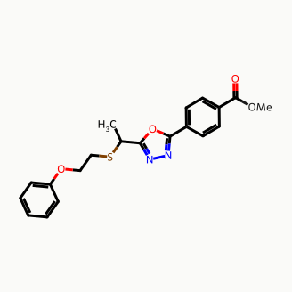 COC(=O)c1ccc(-c2nnc(C(C)SCCOc3ccccc3)o2)cc1